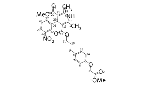 COC(=O)COc1ccc(CCCOC(=O)C2=C(C)NC(C)=C(C(=O)OC)C2c2cccc([N+](=O)[O-])c2)cc1